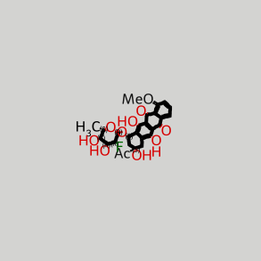 COc1cccc2c1C(=O)c1c(O)c3c(c(O)c1C2=O)C[C@@](O)(C(C)=O)C[C@@H]3O[C@@H]1O[C@@H](C)[C@@H](O)[C@@H](O)[C@H]1F